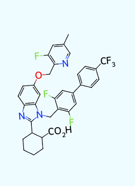 Cc1cnc(COc2ccc3nc(C4CCCCC4C(=O)O)n(Cc4c(F)cc(-c5ccc(C(F)(F)F)cc5)cc4F)c3c2)c(F)c1